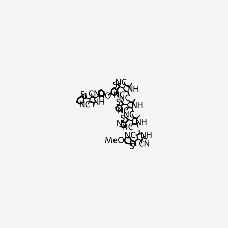 CC1=C(C#N)C(c2csc3cc(O)ccc23)C(C#N)=C(C)N1.CC1=C(C#N)C(c2csc3ccccc23)C(C#N)=C(C)N1.CC1=C(C#N)C(c2csc3ccccc23)C(C#N)=C(c2ccccc2)N1.CC1=C(C#N)C(c2csc3ncccc23)C(C#N)=C(C)N1.COc1ccc2c(C3C(C#N)=C(C)NC(C)=C3C#N)csc2c1